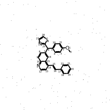 COc1ccc(C(c2ccc3nccc(C=Cc4ccccc4)c3c2)c2nccs2)cc1